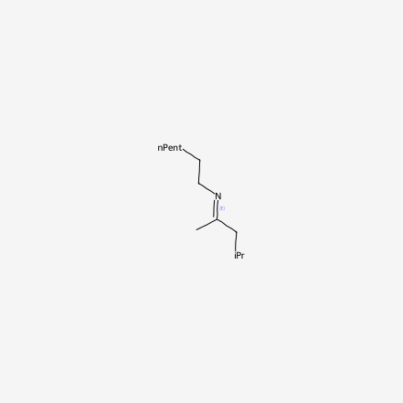 CCCCCCC/N=C(\C)CC(C)C